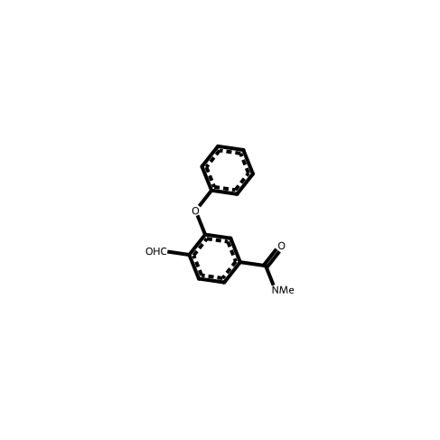 CNC(=O)c1ccc(C=O)c(Oc2ccccc2)c1